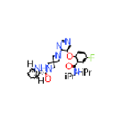 CC(C)N(C(=O)c1cc(F)ccc1Oc1cncnc1N1CC2(CN(C(=O)[C@H]3N[C@@H]4CC[C@H]3C4)C2)C1)C(C)C